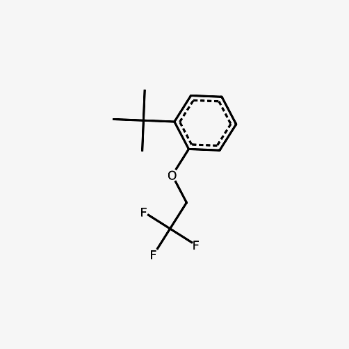 CC(C)(C)c1ccccc1OCC(F)(F)F